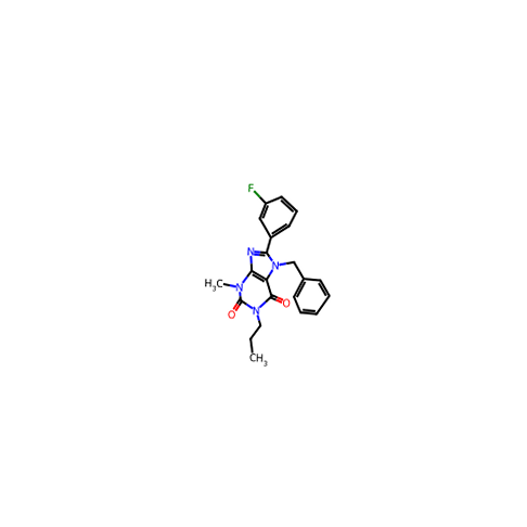 CCCn1c(=O)c2c(nc(-c3cccc(F)c3)n2Cc2ccccc2)n(C)c1=O